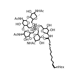 CCCCCC/C=C\CCCCCCCCCC(=O)NC1[C@H](O[C@@H]2C(CO)O[C@@H](O[C@@H]3C(CO)O[C@@H](O[C@@H]4C(CO)O[C@@H](O[C@@H]5C(CO)O[C@@H](C)C(NC(C)=O)[C@H]5O)C(NC(C)=O)[C@H]4O)C(NC(C)=O)[C@H]3O)C(NC(C)=O)[C@H]2O)OC(COC(C)=O)[C@@H](O)[C@@H]1O